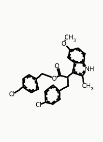 COc1ccc2[nH]c(C)c(C(Cc3ccc(Cl)cc3)C(=O)OCc3ccc(Cl)cc3)c2c1